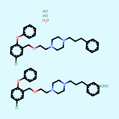 Cl.Cl.Cl.Cl.Clc1ccc(Oc2ccccc2)c(COCCN2CCN(CCCc3ccccc3)CC2)c1.Clc1ccc(Oc2ccccc2)c(COCCN2CCN(CCCc3ccccc3)CC2)c1.O